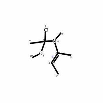 C/C=C(\C)N(C)C(C)(Cl)OC